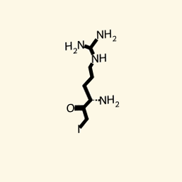 NC(N)NCCC[C@H](N)C(=O)CI